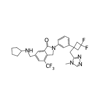 Cn1cnnc1CC1(c2cccc(N3Cc4c(cc(CNC5CCCC5)cc4C(F)(F)F)C3=O)c2)CC(F)(F)C1